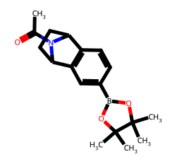 CC(=O)N1C2CCC1c1cc(B3OC(C)(C)C(C)(C)O3)ccc12